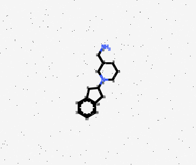 NCC1CCCN(C2Cc3ccccc3C2)C1